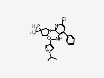 CC(C)n1cc(C(=O)Nc2c(-c3ccccc3)cc(Cl)nc2N2CCC(P)(P)C2)cn1